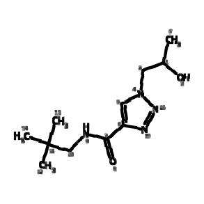 CC(O)Cn1cc(C(=O)NCC(C)(C)C)nn1